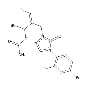 CC(C)(C)C(OC(N)=O)C(=CF)Cn1ncn(-c2ccc(Br)cc2F)c1=O